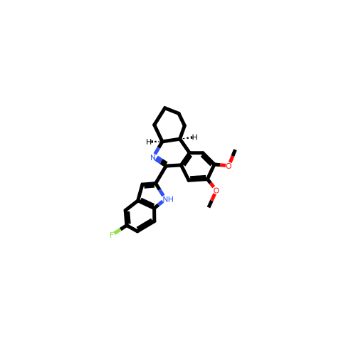 COc1cc2c(cc1OC)[C@@H]1CCCC[C@@H]1N=C2c1cc2cc(F)ccc2[nH]1